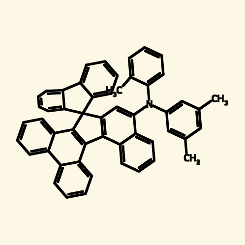 Cc1cc(C)cc(N(c2ccccc2C)c2cc3c(c4ccccc24)-c2c(c4ccccc4c4ccccc24)C32c3ccccc3-c3ccccc32)c1